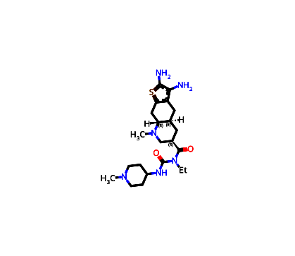 CCN(C(=O)NC1CCN(C)CC1)C(=O)[C@@H]1C[C@@H]2Cc3c(sc(N)c3N)C[C@H]2N(C)C1